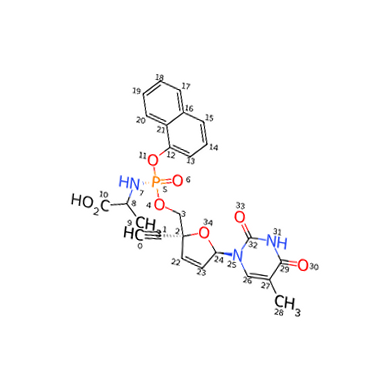 C#C[C@@]1(CO[P@@](=O)(NC(C)C(=O)O)Oc2cccc3ccccc23)C=C[C@H](n2cc(C)c(=O)[nH]c2=O)O1